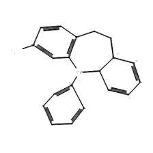 Cc1ccc2c(c1)N(c1ccccc1)C1C=CC=CC1CC2